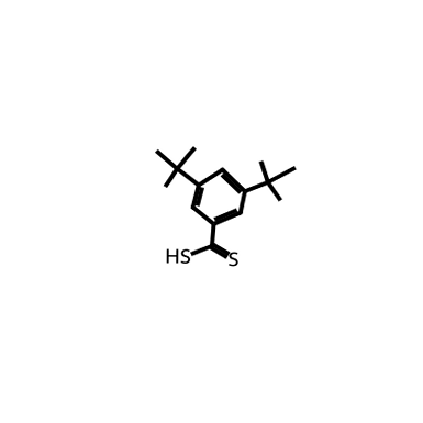 CC(C)(C)c1cc(C(=S)S)cc(C(C)(C)C)c1